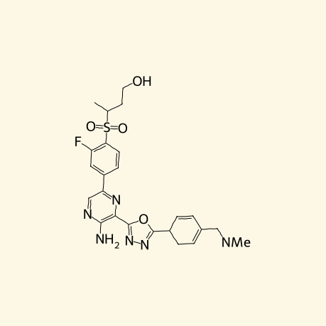 CNCC1=CCC(c2nnc(-c3nc(-c4ccc(S(=O)(=O)C(C)CCO)c(F)c4)cnc3N)o2)C=C1